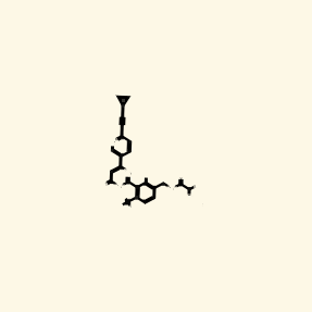 CC(C)C(=O)NCc1ccc(C(F)(F)F)c(-c2nc(-c3ccc(C#CC4CC4)nc3)cc(=O)[nH]2)c1F